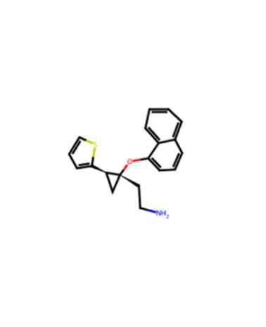 NCC[C@@]1(Oc2cccc3ccccc23)C[C@H]1c1cccs1